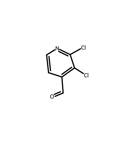 O=Cc1ccnc(Cl)c1Cl